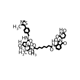 Cc1ncsc1-c1ccc(CNC(=O)[C@@H]2C[C@@H](O)CN2C(=O)[C@@H](NC(=O)CCCCCCC(=O)Nc2cccc3c2C(=O)N(C2CCC(=O)NC2=O)C3=O)C(C)(C)C)cc1